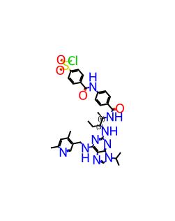 CC[C@H](Nc1nc(NCc2cnc(C)cc2C)c2ncn(C(C)C)c2n1)[C@@H](C)NC(=O)c1ccc(NC(=O)c2ccc(S(=O)(=O)Cl)cc2)cc1